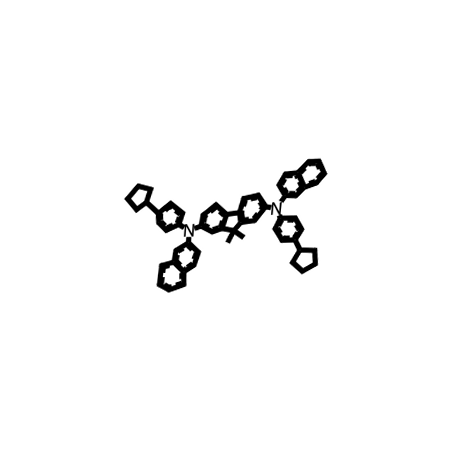 CC1(C)c2cc(N(c3ccc(C4CCCC4)cc3)c3ccc4ccccc4c3)ccc2-c2ccc(N(c3ccc(C4CCCC4)cc3)c3ccc4ccccc4c3)cc21